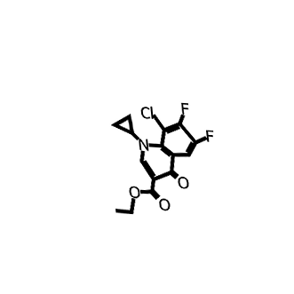 CCOC(=O)c1cn(C2CC2)c2c(Cl)c(F)c(F)cc2c1=O